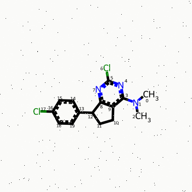 CN(C)c1nc(Cl)nc2c1CCC2c1ccc(Cl)cc1